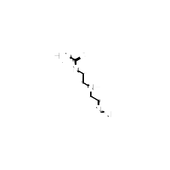 N=NCCNCCNC(N)=S